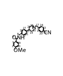 COc1ccc(C(=O)NCc2ccc(C3CCN(Cc4ccc(C#N)cc4)CC3)cc2)cc1